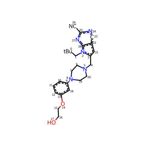 CC(C)(C)Cn1c(CN2CCN(c3cccc(OCCO)c3)CC2)cc2cnc(C#N)nc21